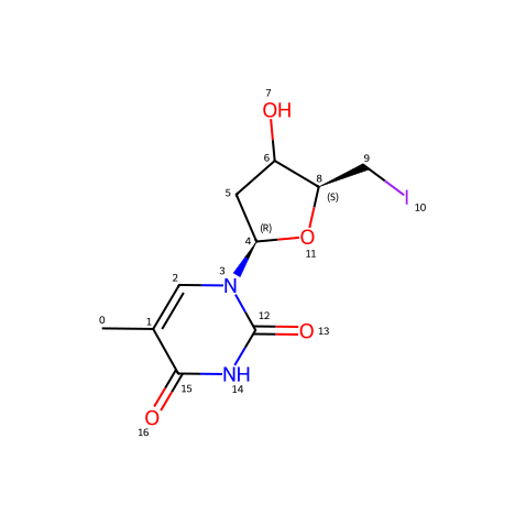 Cc1cn([C@H]2CC(O)[C@@H](CI)O2)c(=O)[nH]c1=O